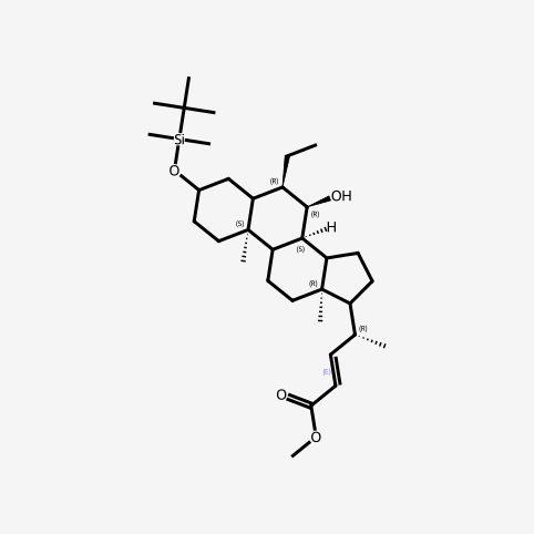 CC[C@@H]1C2CC(O[Si](C)(C)C(C)(C)C)CC[C@]2(C)C2CC[C@@]3(C)C(CCC3[C@H](C)/C=C/C(=O)OC)[C@@H]2[C@@H]1O